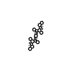 c1ccc2c(c1)ccc1c2sc2c3ccccc3c3c(c4ccccc4n3-c3ccc(-n4c5ccccc5c5c6c7ccc8ccccc8c7sc6c6ccccc6c54)cc3)c12